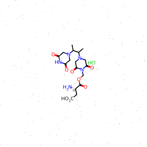 CC(C(C)N1CC(=O)N(COC(=O)[C@@H](N)CC(=O)O)C(=O)C1)N1CC(=O)NC(=O)C1.Cl